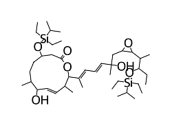 CCC(O[Si](CC)(CC)C(C)C)C(C)C1OC1CC(C)(O)/C=C/C=C(\C)C1OC(=O)CC(O[Si](CC)(CC)C(C)C)CCC(C)C(O)/C=C/C1C